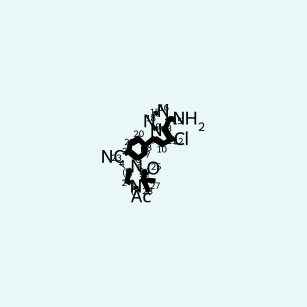 CC(=O)N1C[C@H](C)N(c2cc(-c3cc(Cl)c4c(N)ncnn34)ccc2C#N)C(=O)C1(C)C